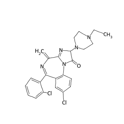 C=C1N=C(c2ccccc2Cl)c2cc(Cl)ccc2N2C(=O)C(N3CCN(CC)CC3)N=C12